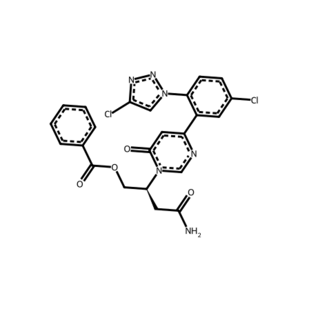 NC(=O)C[C@@H](COC(=O)c1ccccc1)n1cnc(-c2cc(Cl)ccc2-n2cc(Cl)nn2)cc1=O